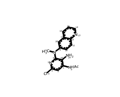 CC(=O)Nc1cc(Cl)nc(N(C)c2ccc3ncccc3c2)c1N